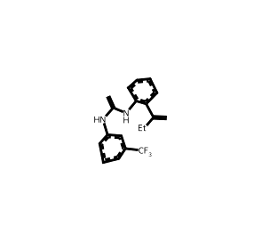 C=C(Nc1cccc(C(F)(F)F)c1)Nc1ccccc1C(=C)CC